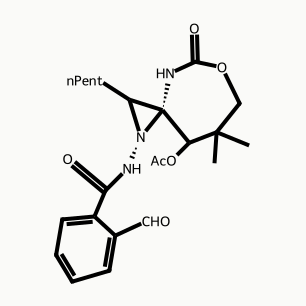 CCCCCC1[N@@](NC(=O)c2ccccc2C=O)[C@@]12NC(=O)OCC(C)(C)C2OC(C)=O